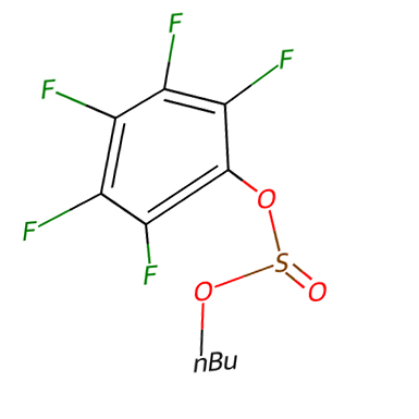 CCCCOS(=O)Oc1c(F)c(F)c(F)c(F)c1F